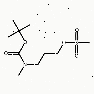 CN(CCCOS(C)(=O)=O)C(=O)OC(C)(C)C